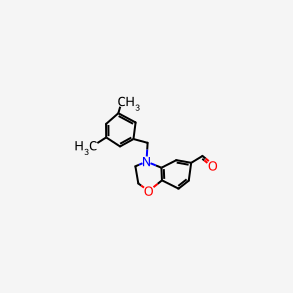 Cc1cc(C)cc(CN2CCOc3ccc(C=O)cc32)c1